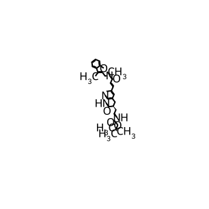 Cc1c(CN(C)C(=O)/C=C/c2cnc3c(c2)C[C@@H](CCNC(=O)OC(C)(C)C)C(=O)N3)oc2ccccc12